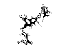 CC(COc1ccc2c(c1)C[C@H](C)C(CN1CC(C(=O)O)C1)=C2)C(F)(F)F